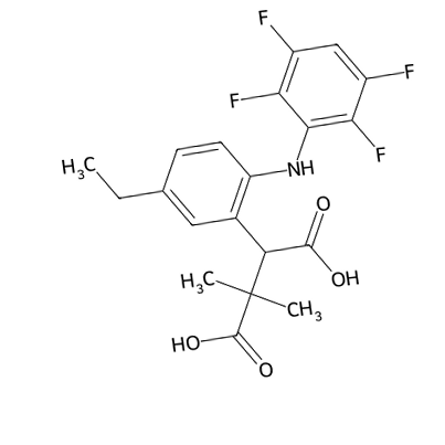 CCc1ccc(Nc2c(F)c(F)cc(F)c2F)c(C(C(=O)O)C(C)(C)C(=O)O)c1